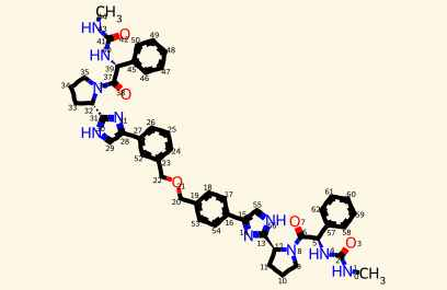 CNC(=O)N[C@@H](C(=O)N1CCC[C@H]1c1nc(-c2ccc(COCc3cccc(-c4c[nH]c([C@@H]5CCCN5C(=O)[C@H](NC(=O)NC)c5ccccc5)n4)c3)cc2)c[nH]1)c1ccccc1